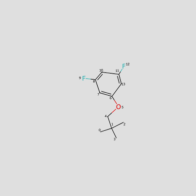 CC(C)(C)COc1cc(F)cc(F)c1